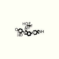 O=C(O)C(F)(F)F.O=C1CC[C@@H](N2Cc3ccc(N4CCC5(CC4)CNC5)cc3C2=O)C(=O)N1